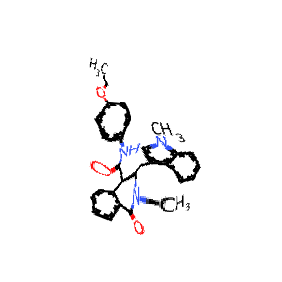 CCOc1ccc(NC(=O)C2c3ccccc3C(=O)N(C)C2c2cn(C)c3ccccc23)cc1